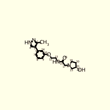 Cc1n[nH]cc1-c1c[c]cc(OCCNC(=O)CN2CC[C@H](O)C2)c1